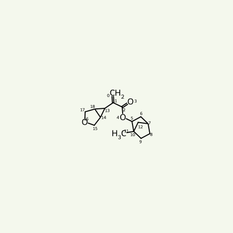 C=C(C(=O)OC1CC2CCC1(C)C2)C1C2COCC21